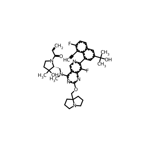 C#Cc1c(F)ccc2cc(C(C)(C)O)cc(-c3ncc4c(N(C)C[C@H]5N(C(=O)C=C)CCC5(C)O)nc(OCC56CCCN5CCC6)nc4c3F)c12